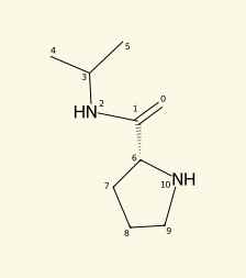 C=C(NC(C)C)[C@H]1CCCN1